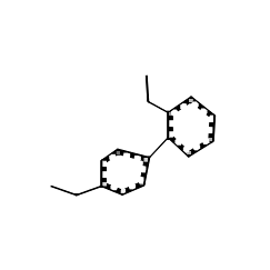 CCc1ccc(-c2cc[c]cc2CC)cc1